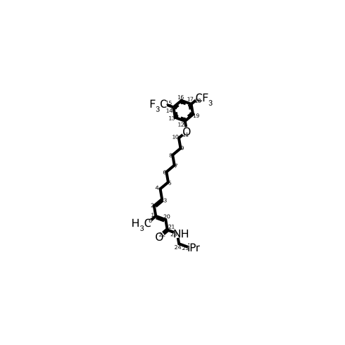 CC(C=CCCCCCCCOc1cc(C(F)(F)F)cc(C(F)(F)F)c1)=CC(=O)NCC(C)C